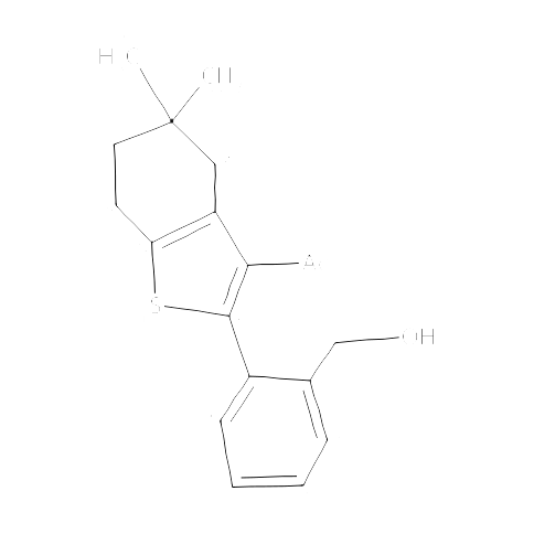 CC(=O)c1c(-c2ccccc2CO)sc2c1CC(C)(C)CC2